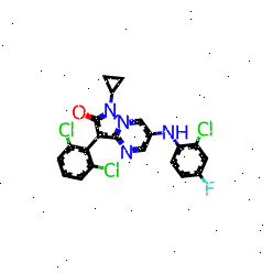 O=c1c(-c2c(Cl)cccc2Cl)c2ncc(Nc3ccc(F)cc3Cl)cn2n1C1CC1